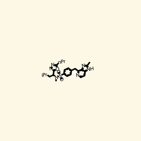 CCCc1nnc(C(CC(C)C)N(C)S(=O)(=O)c2ccc(Cc3nccc4[nH]c(C)nc34)cc2)o1